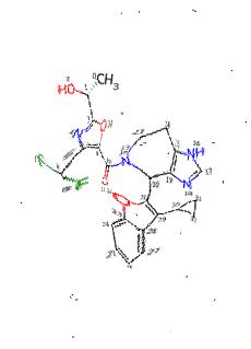 C[C@@H](O)c1nc(C(F)F)c(C(=O)N2CCc3[nH]cnc3[C@H]2c2oc3ccccc3c2C2CC2)o1